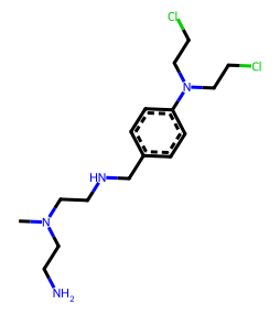 CN(CCN)CCNCc1ccc(N(CCCl)CCCl)cc1